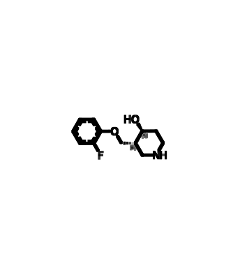 O[C@H]1CCNC[C@@H]1COc1ccccc1F